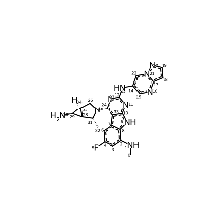 CNc1cc(F)cc2c1[nH]c1nc(Nc3cnc4ccnn4c3)nc(N3C[C@H]4C([C@H]4N)[C@H]3C)c12